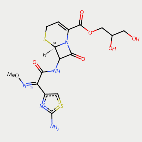 CO/N=C(\C(=O)NC1C(=O)N2C(C(=O)OCC(O)CO)=CCS[C@H]12)c1csc(N)n1